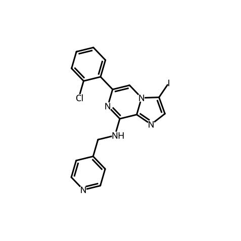 Clc1ccccc1-c1cn2c(I)cnc2c(NCc2ccncc2)n1